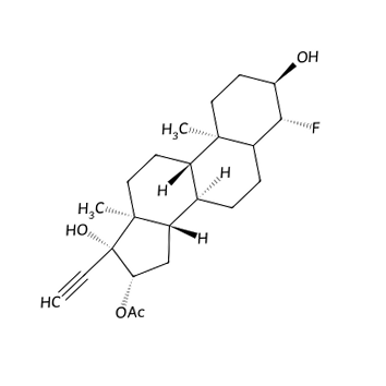 C#C[C@]1(O)[C@@H](OC(C)=O)C[C@H]2[C@@H]3CCC4[C@@H](F)[C@H](O)CC[C@]4(C)[C@H]3CC[C@@]21C